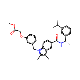 COC(=O)COc1cccc(Cn2c(C)c(C)c3cc(C(=O)N[C@@H](C)c4cccc(C(C)C)c4)ccc32)c1